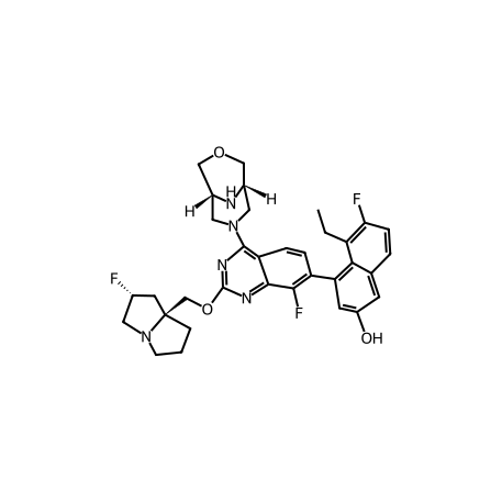 CCc1c(F)ccc2cc(O)cc(-c3ccc4c(N5C[C@H]6COC[C@@H](C5)N6)nc(OC[C@@]56CCCN5C[C@H](F)C6)nc4c3F)c12